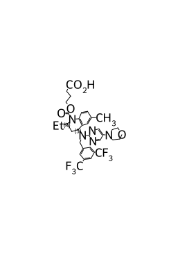 CC[C@@H]1C[C@H](N(Cc2cc(C(F)(F)F)cc(C(F)(F)F)c2)c2ncc(N3CCOCC3)cn2)c2cc(C)ccc2N1C(=O)OCCCC(=O)O